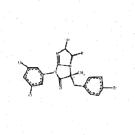 C[C@@]1(Cc2ccc(Br)cc2)C(=O)N(c2cc(Cl)cc(Cl)c2)C2=NC(Br)C(Br)N21